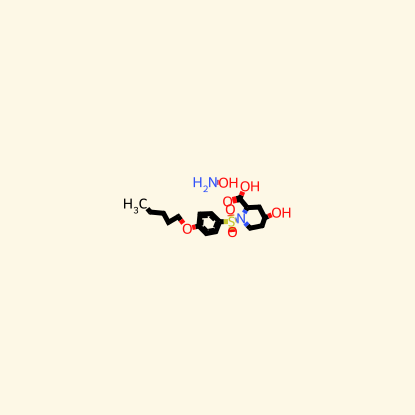 CCCCCOc1ccc(S(=O)(=O)N2CCC(O)CC2C(=O)O)cc1.NO